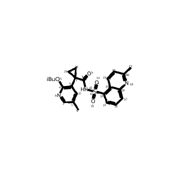 Cc1cnc(OCC(C)C)c(C2(C(=O)NS(=O)(=O)c3cccc4nc(C)ccc34)CC2)c1